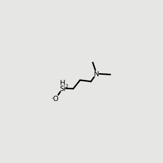 CN(C)CCC[SiH2][O]